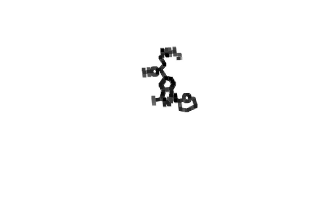 NCCC(O)c1ccc2c(c1)c(I)nn2C1CCCCO1